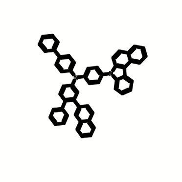 c1ccc(-c2ccc(N(c3ccc(-n4c5ccccc5c5c6ccccc6ccc54)cc3)c3ccc(-c4ccccc4)c(-c4ccc5ccccc5c4)c3)cc2)cc1